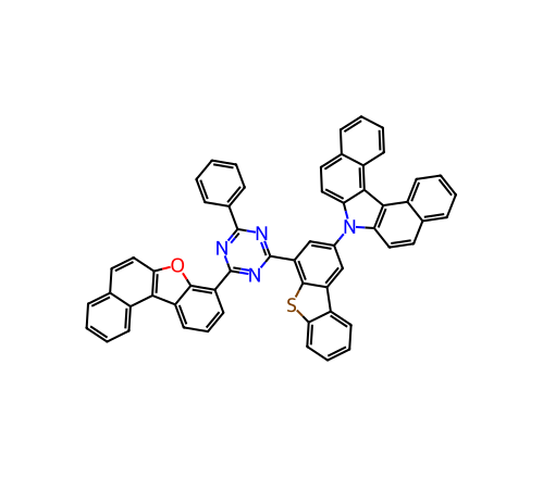 c1ccc(-c2nc(-c3cccc4c3oc3ccc5ccccc5c34)nc(-c3cc(-n4c5ccc6ccccc6c5c5c6ccccc6ccc54)cc4c3sc3ccccc34)n2)cc1